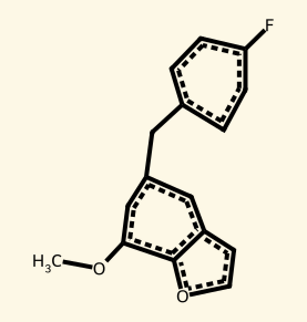 COc1cc(Cc2ccc(F)cc2)cc2ccoc12